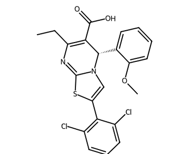 CCC1=C(C(=O)O)[C@H](c2ccccc2OC)N2C=C(c3c(Cl)cccc3Cl)SC2=N1